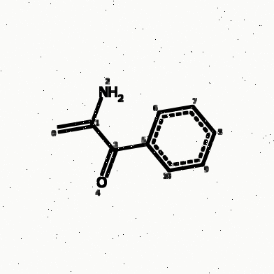 C=C(N)C(=O)c1ccccc1